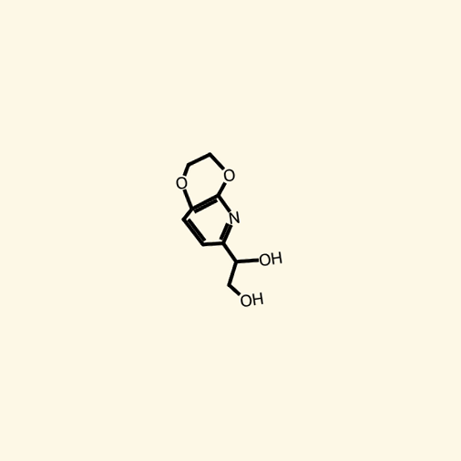 OCC(O)c1ccc2c(n1)OCCO2